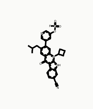 CC(C)Cc1cc2c(=O)c3c4ccc(C#N)cc4[nH]c3n(C3CCC3)c2cc1-c1cncc(OS(=O)(=O)F)c1